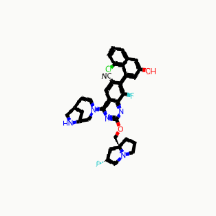 N#Cc1cc2c(N3CCC4CNC(C4)C3)nc(OC[C@@]34CCCN3C[C@H](F)C4)nc2c(F)c1-c1cc(O)cc2cccc(Cl)c12